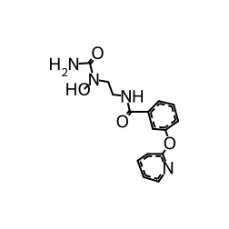 NC(=O)N(O)CCNC(=O)c1cccc(Oc2ccccn2)c1